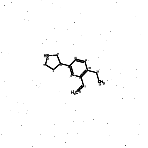 C=Cc1cc(C2CCNC2)ccc1CC